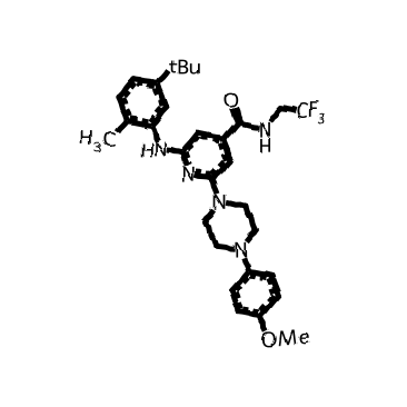 COc1ccc(N2CCN(c3cc(C(=O)NCC(F)(F)F)cc(Nc4cc(C(C)(C)C)ccc4C)n3)CC2)cc1